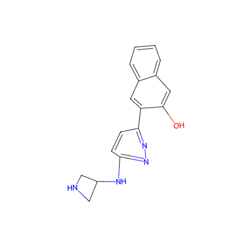 Oc1cc2ccccc2cc1-c1ccc(NC2CNC2)nn1